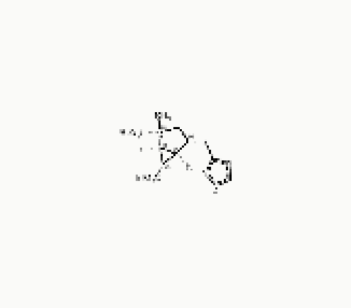 CCOC(=O)[C@H]1[C@H]2[C@@H]1[C@](N)(C(=O)OCC)C[C@@H]2Sc1nc[nH]n1